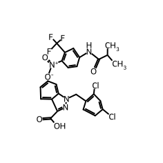 CC(C)C(=O)Nc1ccc([N+](=O)[O-])c(C(F)(F)F)c1.O=C(O)c1nn(Cc2ccc(Cl)cc2Cl)c2ccccc12